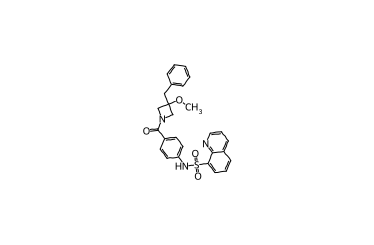 COC1(Cc2ccccc2)CN(C(=O)c2ccc(NS(=O)(=O)c3cccc4cccnc34)cc2)C1